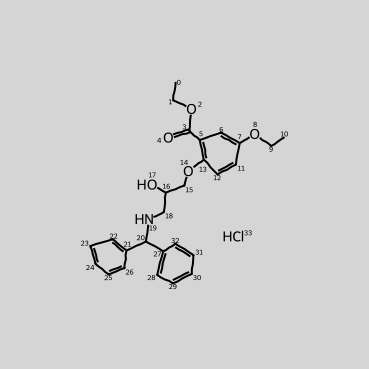 CCOC(=O)c1cc(OCC)ccc1OCC(O)CNC(c1ccccc1)c1ccccc1.Cl